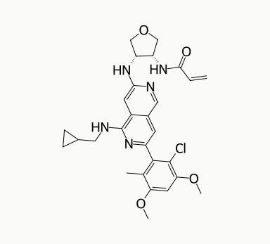 C=CC(=O)N[C@H]1COC[C@H]1Nc1cc2c(NCC3CC3)nc(-c3c(C)c(OC)cc(OC)c3Cl)cc2cn1